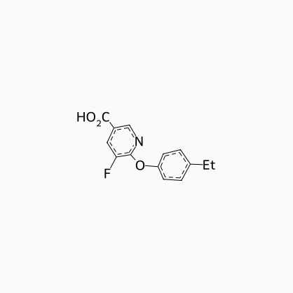 CCc1ccc(Oc2ncc(C(=O)O)cc2F)cc1